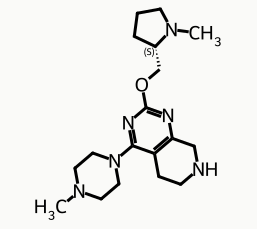 CN1CCN(c2nc(OC[C@@H]3CCCN3C)nc3c2CCNC3)CC1